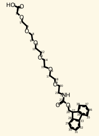 O=C(O)COCCOCCOCCOCCOCCOCCNC(=O)OCC1c2ccccc2-c2ccccc21